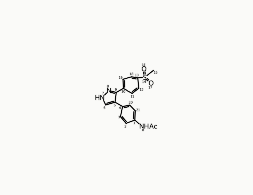 CC(=O)Nc1ccc(-c2c[nH]nc2-c2ccc(S(C)(=O)=O)cc2)cc1